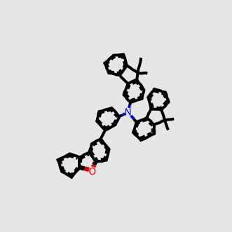 CC1(C)c2ccccc2-c2cc(N(c3cccc(-c4ccc5oc6ccccc6c5c4)c3)c3cccc4c3-c3ccccc3C4(C)C)ccc21